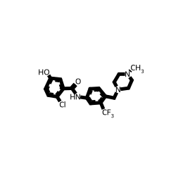 CN1CCN(Cc2ccc(NC(=O)c3cc(O)ccc3Cl)cc2C(F)(F)F)CC1